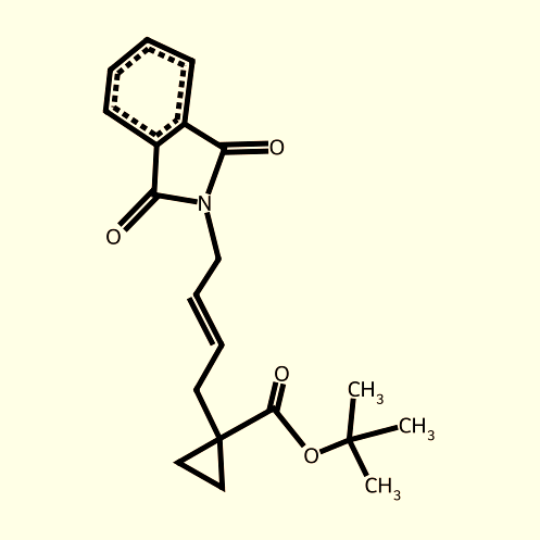 CC(C)(C)OC(=O)C1(CC=CCN2C(=O)c3ccccc3C2=O)CC1